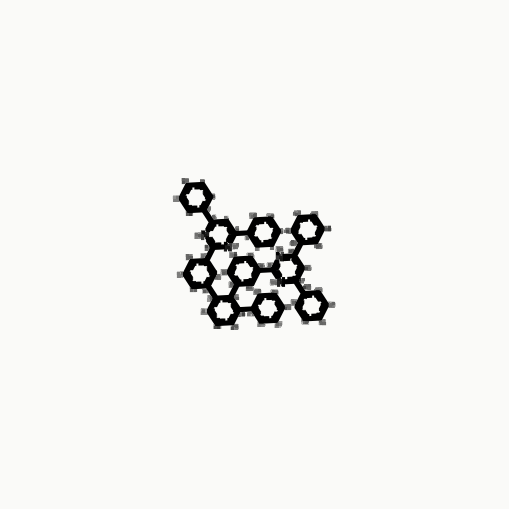 c1ccc(-c2cc(-c3ccccc3)nc(-c3cccc(-c4cccc(-c5ccccc5)c4-c4cccc(-c5nc(-c6ccccc6)cc(-c6ccccc6)n5)c4)c3)n2)cc1